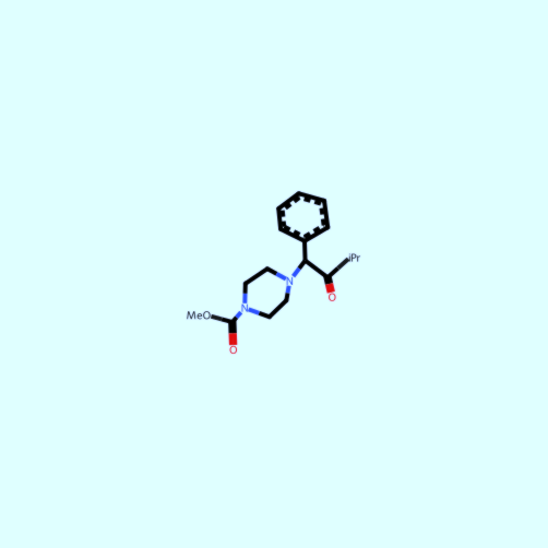 COC(=O)N1CCN(C(C(=O)C(C)C)c2ccccc2)CC1